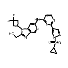 O=S(=O)(C1CC1)n1cc(-c2nccc(Nc3cc4c(cn3)nc(CO)n4C3CC(F)(F)C3)n2)cn1